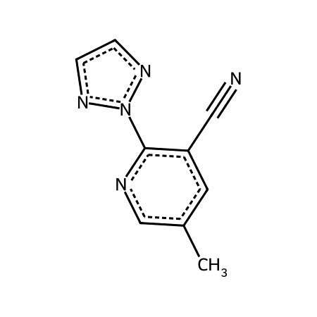 Cc1cnc(-n2nccn2)c(C#N)c1